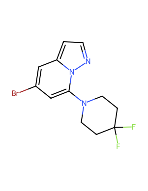 FC1(F)CCN(c2cc(Br)cc3ccnn23)CC1